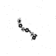 CC(C)c1ccc(F)cc1NC(=S)N/N=C/c1ccc(-c2ncn(-c3ccc(OC(F)(F)C(F)(F)F)cc3)n2)cc1